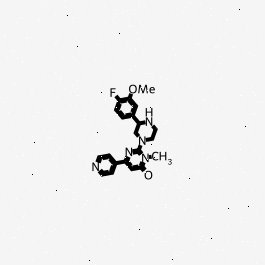 COc1cc(C2CN(c3nc(-c4ccncc4)cc(=O)n3C)CCN2)ccc1F